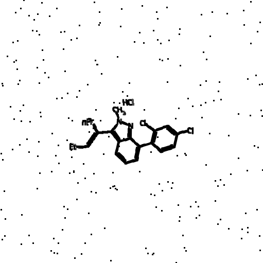 CCC=C(CCC)c1c2cccc(-c3ccc(Cl)cc3Cl)c2nn1C.Cl